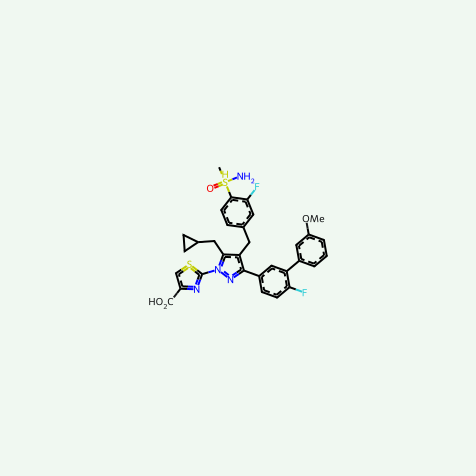 COc1cccc(-c2cc(-c3nn(-c4nc(C(=O)O)cs4)c(CC4CC4)c3Cc3ccc([SH](C)(N)=O)c(F)c3)ccc2F)c1